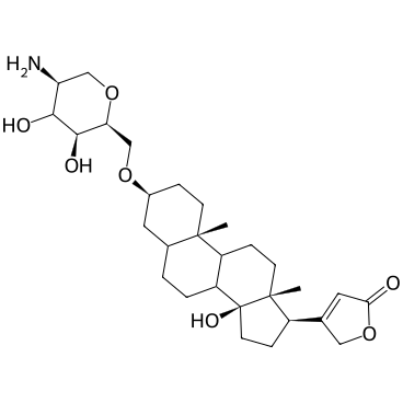 C[C@]12CC[C@H](OC[C@@H]3OC[C@H](N)C(O)[C@@H]3O)CC1CCC1C2CC[C@]2(C)[C@@H](C3=CC(=O)OC3)CC[C@]12O